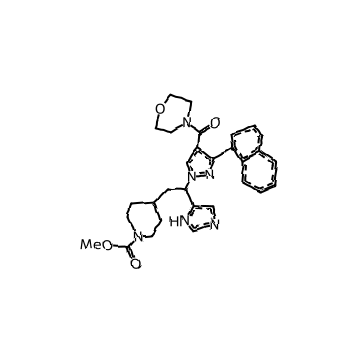 COC(=O)N1CCC(CC(c2cnc[nH]2)n2cc(C(=O)N3CCOCC3)c(-c3cccc4ccccc34)n2)CC1